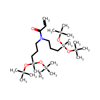 C=CC(=O)N(CCC[Si](C)(O[Si](C)(C)C)O[Si](C)(C)C)CCC[Si](C)(O[Si](C)(C)C)O[Si](C)(C)C